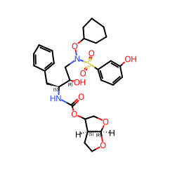 O=C(N[C@@H](Cc1ccccc1)[C@H](O)CN(OC1CCCCC1)S(=O)(=O)c1cccc(O)c1)OC1CO[C@H]2OCC[C@@H]12